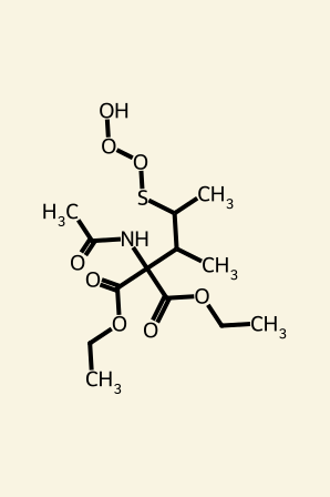 CCOC(=O)C(NC(C)=O)(C(=O)OCC)C(C)C(C)SOOO